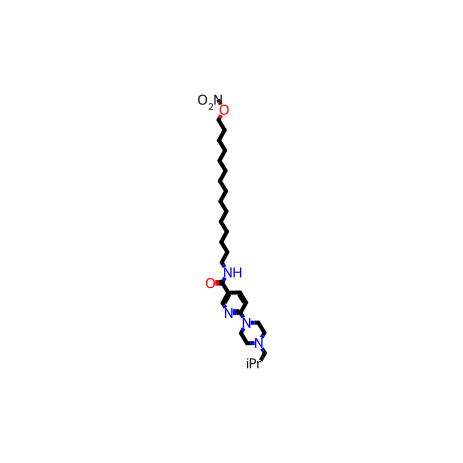 CC(C)CN1CCN(c2ccc(C(=O)NCCCCCCCCCCCCCCCO[N+](=O)[O-])cn2)CC1